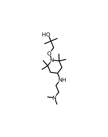 CN(C)CCNC1CC(C)(C)N(OCC(C)(C)O)C(C)(C)C1